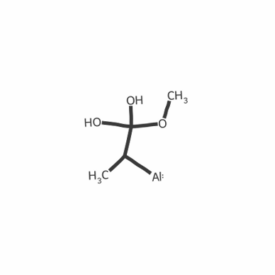 COC(O)(O)[CH](C)[Al]